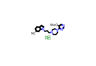 COc1cncnc1N1CCCN(CCCn2ccc3ccc(C#N)cc32)CC1.Cl.Cl